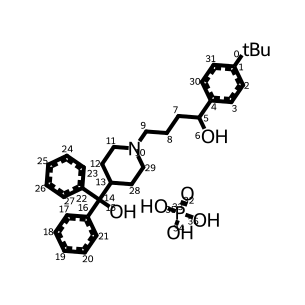 CC(C)(C)c1ccc(C(O)CCCN2CCC(C(O)(c3ccccc3)c3ccccc3)CC2)cc1.O=P(O)(O)O